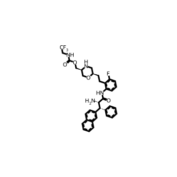 N[C@H](C(=O)Nc1cccc(F)c1CC[C@@H]1CN[C@H](COC(=O)NCC(F)(F)F)CO1)[C@H](c1ccccc1)c1ccc2ccccc2c1